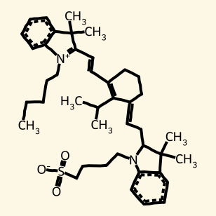 CCCCC[N+]1=C(/C=C/C2=C(C(C)C)C(=C/CC3N(CCCCS(=O)(=O)[O-])c4ccccc4C3(C)C)/CCC2)C(C)(C)c2ccccc21